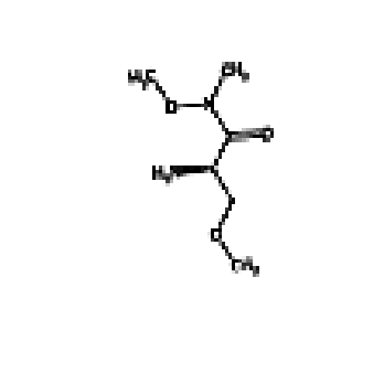 COC[C@@H](N)C(=O)N(C)OC